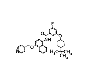 CC(C)(C)C1CCC(Oc2cc(F)cc(C(=O)Nc3ccc(OCc4ccncc4)c4ccccc34)c2)CC1